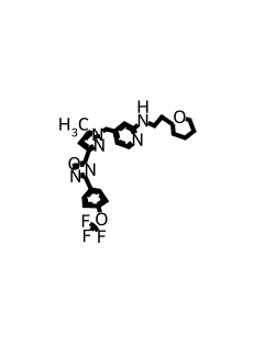 Cc1cc(-c2nc(-c3ccc(OC(F)(F)F)cc3)no2)nn1Cc1ccnc(NCCC2CCCCO2)c1